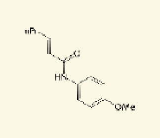 CCCC=CC(=O)Nc1ccc(OC)cc1